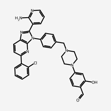 Nc1ncccc1-c1nc2ccc(-c3ccccc3Cl)nc2n1-c1ccc(CN2CCN(c3ccc(C=O)c(O)c3)CC2)cc1